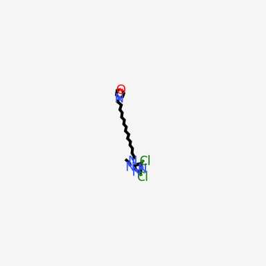 Cc1nc2nc(Cl)nc(Cl)c2n1CCCCCCCCCCCCCCCCN1CCOCC1